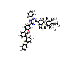 Bc1c(B)c(B)c(-c2ccc(-c3nc(-c4ccccc4)nc(-c4ccc5c(c4)oc4c(-c6cccc7c6sc6ccccc67)cccc45)n3)cc2)c(B)c1B